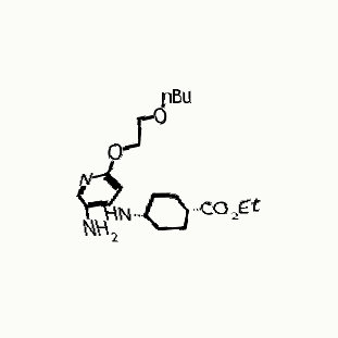 CCCCOCCOc1cc(N[C@H]2CC[C@@H](C(=O)OCC)CC2)c(N)cn1